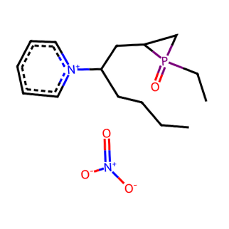 CCCCC(CC1CP1(=O)CC)[n+]1ccccc1.O=[N+]([O-])[O-]